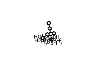 Bc1c(B)c(-c2c3ccccc3c(-c3ccc(-c4ccccc4)cc3)c3ccc(C4=C(C)C(O)C(O)C(C)=C4O)cc23)c(B)c(B)c1S